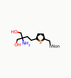 CCCCCCCCCCc1ccc(CCC(N)(CO)CO)s1